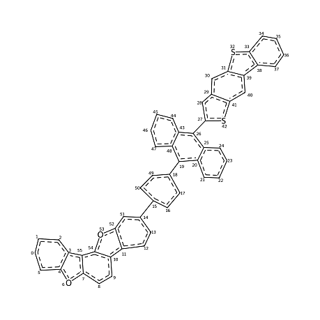 c1ccc2c(c1)oc1ccc3c4ccc(-c5ccc(-c6c7ccccc7c(-c7cc8cc9sc%10ccccc%10c9cc8s7)c7ccccc67)cc5)cc4oc3c12